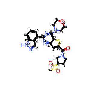 CS(=O)(=O)C1CCN(C(=O)c2cc3nc(-c4cccc5[nH]ncc45)nc(N4CCOCC4)c3s2)C1